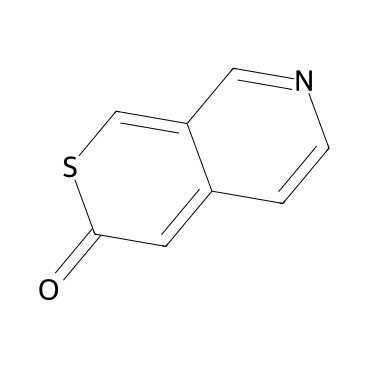 O=c1cc2ccncc2cs1